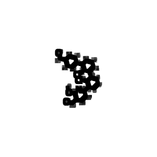 COc1nc(-c2cccc(-c3cccc(-c4ccc(C=O)cc4)c3Cl)c2Cl)ccc1C=O